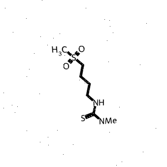 CNC(=S)NCCCCS(C)(=O)=O